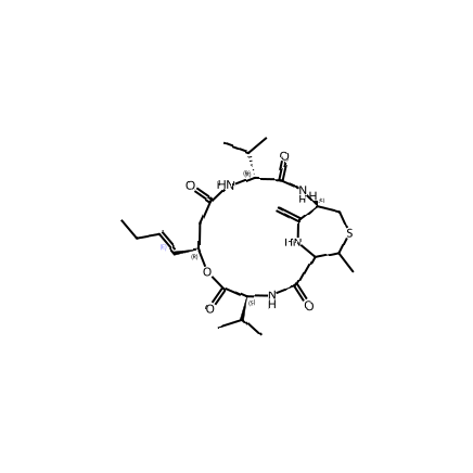 C=C1NC2C(=O)N[C@@H](C(C)C)C(=O)O[C@@H](/C=C/CC)CC(=O)N[C@H](C(C)C)C(=O)N[C@@H]1CSC2C